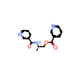 C[C@H](COC(=O)c1cccnc1)NC(=O)c1cccnc1